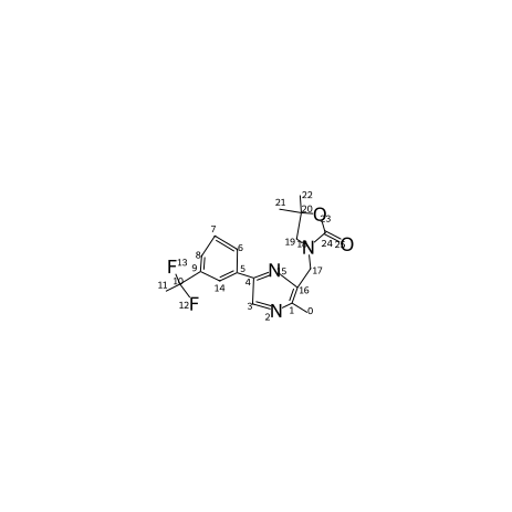 Cc1ncc(-c2cccc(C(C)(F)F)c2)nc1CN1CC(C)(C)OC1=O